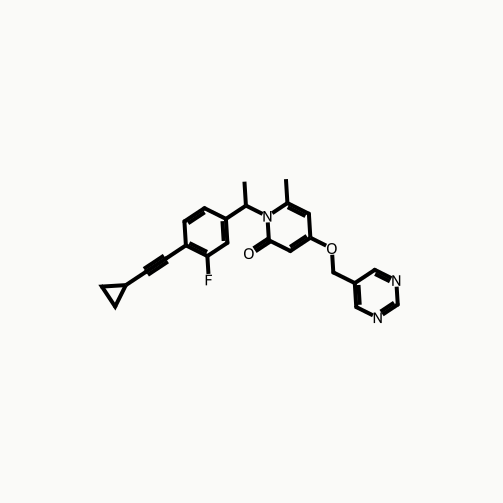 Cc1cc(OCc2cncnc2)cc(=O)n1C(C)c1ccc(C#CC2CC2)c(F)c1